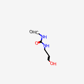 O=CNC(=O)NCC=CO